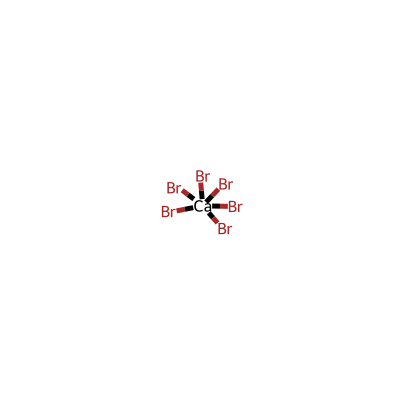 [Br][Ca]([Br])([Br])([Br])([Br])[Br]